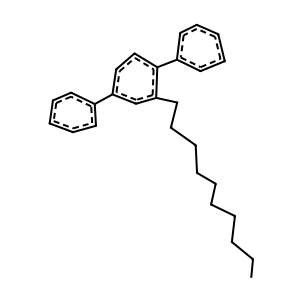 CCCCCCCCCCc1cc(-c2ccccc2)ccc1-c1ccccc1